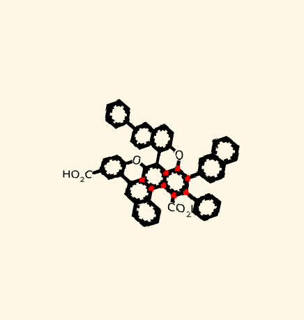 O=C(O)c1ccc(Oc2ccc3cc(-c4ccccc4)ccc3c2-c2c(Oc3ccc(C(=O)O)cc3-c3ccc4ccccc4c3)ccc3cc(-c4ccccc4)ccc23)c(-c2ccc3ccccc3c2)c1